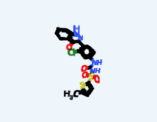 Cc1ccc(S(=O)(=O)NC(=O)Nc2ccc(-c3n[nH]c4ccccc4c3=O)c(Cl)c2)s1